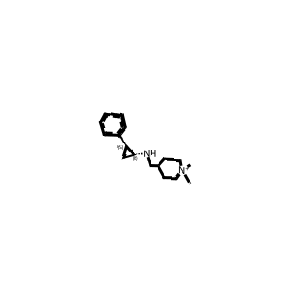 C[N+]1(C)CCC(CN[C@@H]2C[C@H]2c2ccccc2)CC1